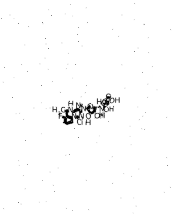 C[C@H](Nc1nc(Cl)nc2c1ncn2[C@@H]1O[C@H](CNP(=O)(O)CP(=O)(O)O)C(O)C1O)c1ccccc1F